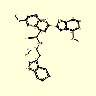 COc1ccc2nc(-c3cc4c(OC)cccc4o3)cc(C(=O)N[C@@H](CO)Cc3c[nH]c4ccccc34)c2c1